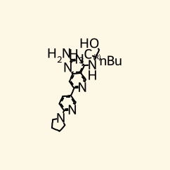 CCCC[C@](C)(CO)Nc1nc(N)nc2cc(-c3ccc(N4CCCC4)nc3)ncc12